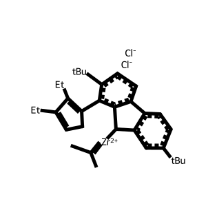 CCC1=CCC(c2c(C(C)(C)C)ccc3c2[CH]([Zr+2]=[C](C)C)c2cc(C(C)(C)C)ccc2-3)=C1CC.[Cl-].[Cl-]